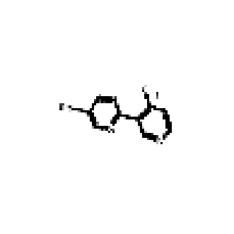 Cc1ccncc1-c1ccc(C(C)C)cn1